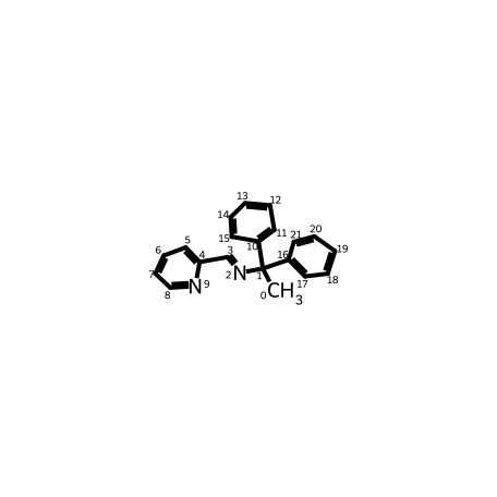 CC(/N=C/c1ccccn1)(c1ccccc1)c1ccccc1